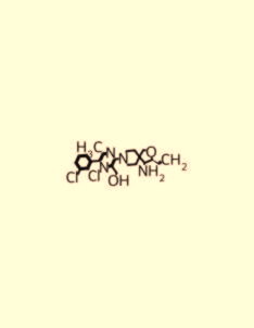 C=C[C@@H]1OCC2(CCN(c3nc(C)c(-c4cccc(Cl)c4Cl)nc3CO)CC2)[C@@H]1N